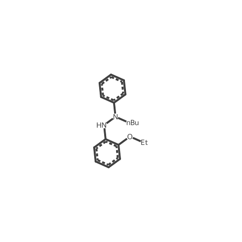 CCCCN(Nc1ccccc1OCC)c1ccccc1